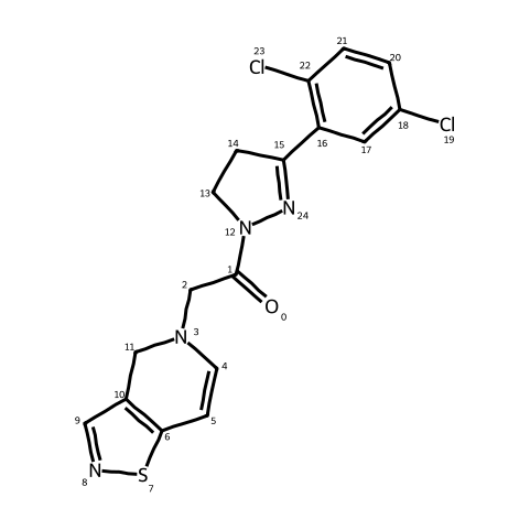 O=C(CN1C=Cc2sncc2C1)N1CCC(c2cc(Cl)ccc2Cl)=N1